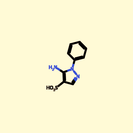 Nc1c(S(=O)(=O)O)cnn1-c1ccccc1